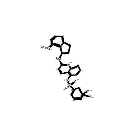 COc1cccc2c1C(Nc1ccc3c(NS(=O)(=O)C4=CC=CC(F)(F)C4)cccc3n1)CC2